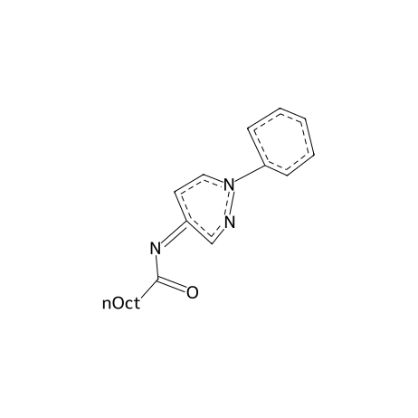 CCCCCCCCC(=O)/N=c1/ccn(-c2ccccc2)nc1